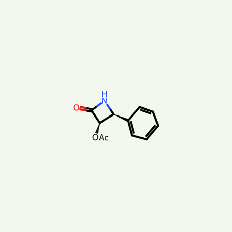 CC(=O)O[C@H]1C(=O)N[C@H]1c1ccccc1